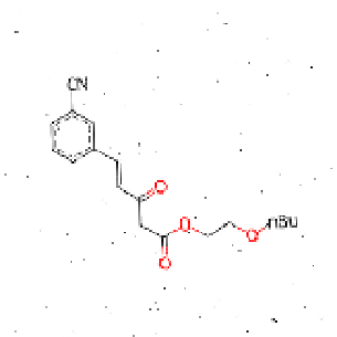 CCCCOCCOC(=O)CC(=O)C=Cc1cccc(C#N)c1